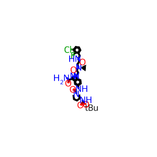 CC(C)(C)OC(=O)N[C@@H]1CCCN(C(=O)Nc2ccc3c(c2)c(C(N)=O)nn3CC(=O)N(CC(=O)NCc2cccc(Cl)c2F)C2CC2)C1